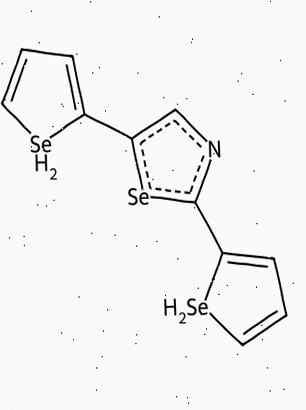 C1=C[SeH2]C(c2cnc(C3=CC=C[SeH2]3)[se]2)=C1